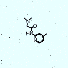 Cc1ccnc(NC(=O)CN(C)C)c1